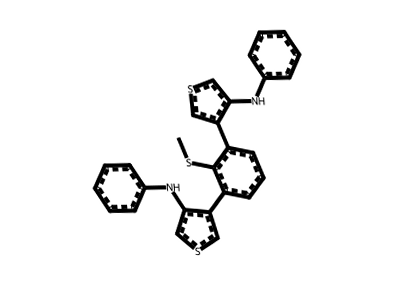 CSc1c(-c2cscc2Nc2ccccc2)cccc1-c1cscc1Nc1ccccc1